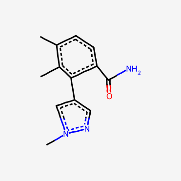 Cc1ccc(C(N)=O)c(-c2cnn(C)c2)c1C